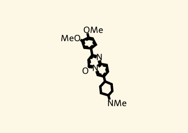 CNC1CCC(c2ccc3nc(-c4ccc(OC)c(OC)c4)cc(=O)n3c2)CC1